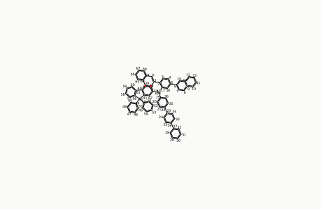 C1=C(c2ccc(-c3ccc4ccccc4c3)cc2N(c2ccc(-c3ccc(-c4ccccc4)cc3)cc2)c2ccc3c(c2)C(c2ccccc2)(c2ccccc2)c2ccccc2-3)CCc2ccccc21